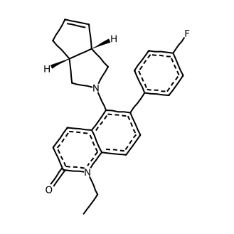 CCn1c(=O)ccc2c(N3C[C@@H]4CC=C[C@@H]4C3)c(-c3ccc(F)cc3)ccc21